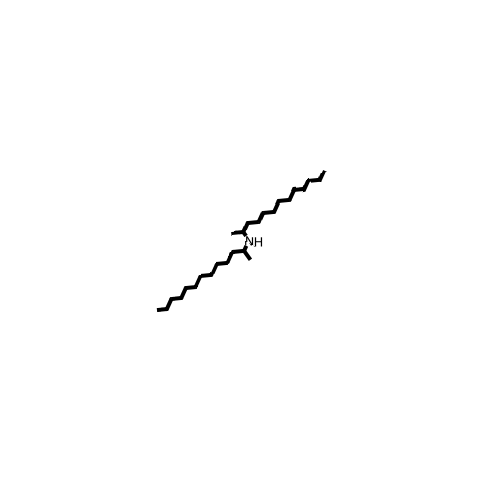 CCCCCCCCCCCC(C)NC(C)CCCCCCCCCCC